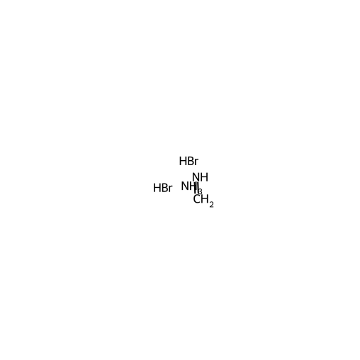 Br.Br.C=N.N